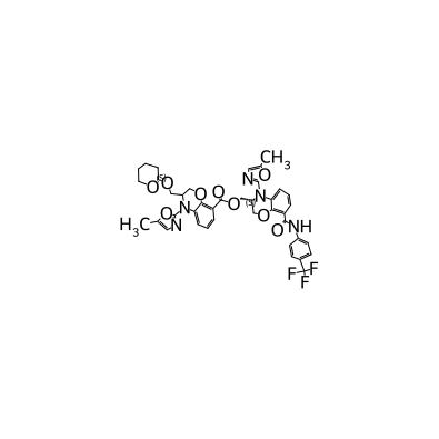 Cc1cnc(N2c3cccc(C(=O)OC[C@@H]4COc5c(C(=O)Nc6ccc(C(F)(F)F)cc6)cccc5N4c4ncc(C)o4)c3OCC2CO[C@H]2CCCCO2)o1